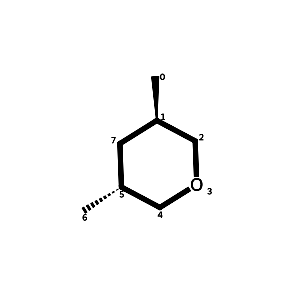 C[C@H]1COC[C@H](C)C1